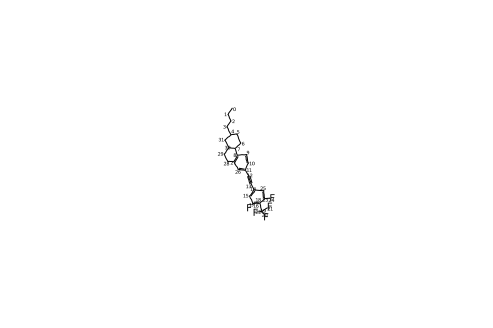 CCCCC1CCC2c3ccc(C#Cc4cc(F)c(C(F)(F)F)c(F)c4)cc3CCC2C1